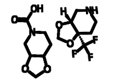 FC(F)(F)[C@@]12CCNC[C@H]1OCO2.O=C(O)N1CCC2OCOC2C1